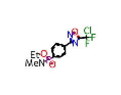 CCOP(=O)(NC)c1ccc(-c2noc(C(F)(F)Cl)n2)cc1